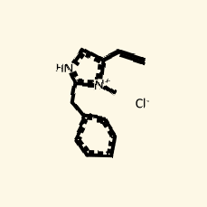 C=Cc1c[nH]c(Cc2ccccc2)[n+]1C.[Cl-]